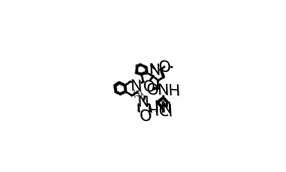 COC1=CC(C(=O)Nc2cnn(C)c2)C(C)(c2ccccc2C(=O)N2Cc3ccccc3C[C@H]2CN2CCOCC2)N1C.Cl